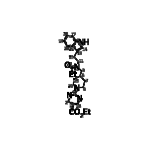 CCOC(=O)c1cnc(N2CCC(CN(CCc3c[nH]c4ccccc34)C(=O)CC)CC2)nc1